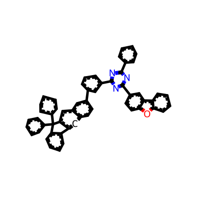 c1ccc(-c2nc(-c3cccc(-c4ccc5cc6c(cc5c4)C(c4ccccc4)(c4ccccc4)c4ccccc4-6)c3)nc(-c3ccc4oc5ccccc5c4c3)n2)cc1